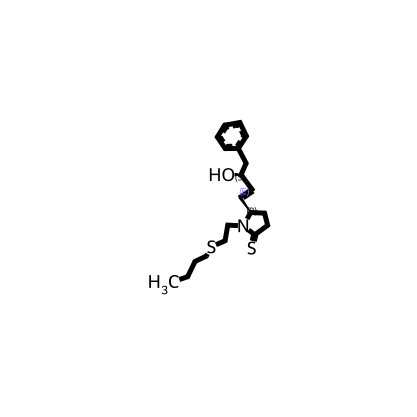 CCCCSCCN1C(=S)CC[C@@H]1/C=C/[C@@H](O)Cc1ccccc1